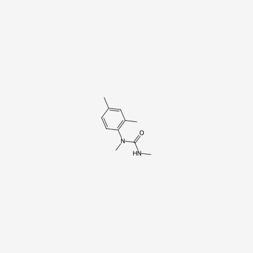 CNC(=O)N(C)c1ccc(C)cc1C